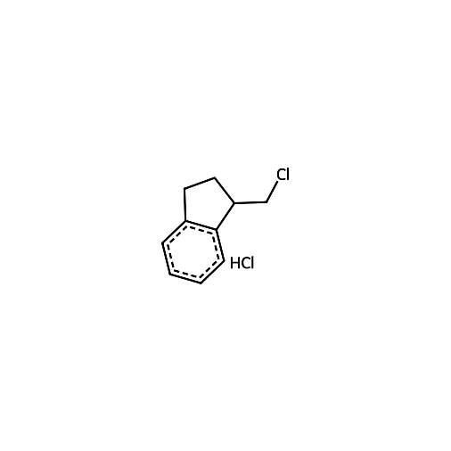 Cl.ClCC1CCc2ccccc21